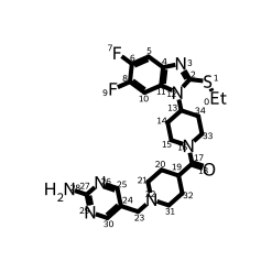 CCSc1nc2cc(F)c(F)cc2n1C1CCN(C(=O)C2CCN(Cc3cnc(N)nc3)CC2)CC1